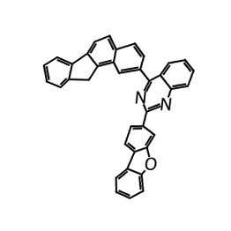 c1ccc2c(c1)Cc1c-2ccc2ccc(-c3nc(-c4ccc5c(c4)oc4ccccc45)nc4ccccc34)cc12